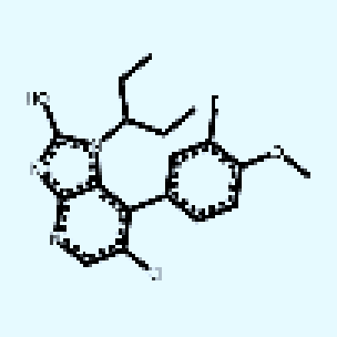 CCC(CC)n1c(O)nc2ncc(Cl)c(-c3ccc(OC)c(F)c3)c21